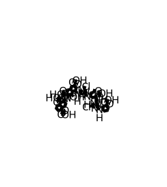 C=C/C=C(\C=C(/CS(=O)(=O)O)Nc1nc(Cl)nc(Nc2cccc(S(=O)(=O)O)c2)n1)Nc1nc(Cl)nc(Nc2cc(S(=O)(=O)O)cc3cc(S(=O)(=O)O)c(N=Nc4ccc5c(S(=O)(=O)O)cccc5c4S(=O)(=O)O)c(O)c23)n1